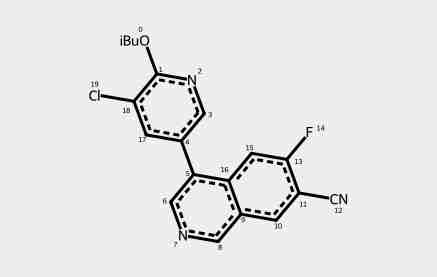 CC(C)COc1ncc(-c2cncc3cc(C#N)c(F)cc23)cc1Cl